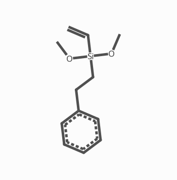 C=C[Si](CCc1ccccc1)(OC)OC